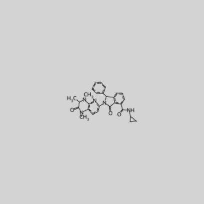 CC1C(=O)N(C)c2ccc(N3C(=O)c4c(C(=O)NC5CC5)cccc4C3c3ccccc3)nc2N1C